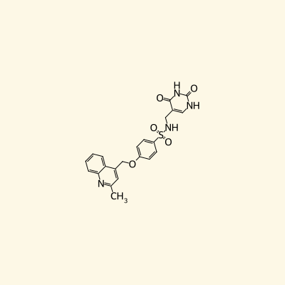 Cc1cc(COc2ccc(S(=O)(=O)NCc3c[nH]c(=O)[nH]c3=O)cc2)c2ccccc2n1